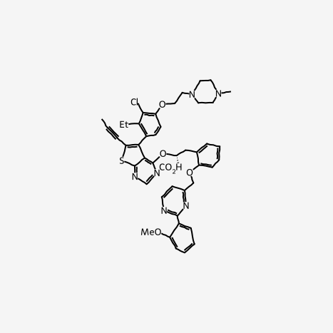 CC#Cc1sc2ncnc(O[C@H](Cc3ccccc3OCc3ccnc(-c4ccccc4OC)n3)C(=O)O)c2c1-c1ccc(OCCN2CCN(C)CC2)c(Cl)c1CC